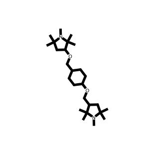 CN1C(C)(C)CC(COC2CCC(COC3CC(C)(C)N(C)C3(C)C)CC2)C1(C)C